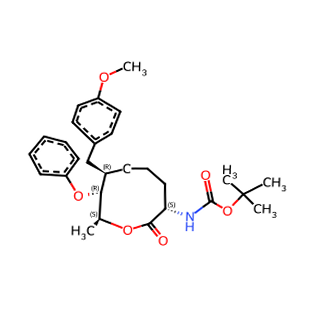 COc1ccc(C[C@H]2CCC[C@H](NC(=O)OC(C)(C)C)C(=O)O[C@@H](C)[C@@H]2Oc2ccccc2)cc1